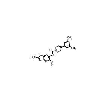 CCOc1nc2cc(C)sc2nc1NC(=O)N1CCN(c2cc(C)cc(C)c2)CC1